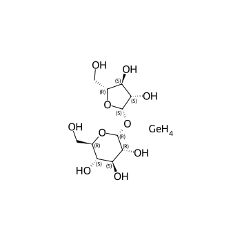 OC[C@H]1O[C@H](O[C@@H]2O[C@H](CO)[C@@H](O)[C@@H]2O)[C@H](O)[C@@H](O)[C@@H]1O.[GeH4]